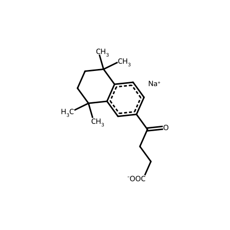 CC1(C)CCC(C)(C)c2cc(C(=O)CCC(=O)[O-])ccc21.[Na+]